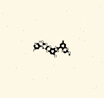 COc1cnc2c(-c3nc4c(Cl)cc5c(c4s3)OC[C@@H](CN(C(=O)O)c3cncc(F)c3)O5)cc(C)cc2n1